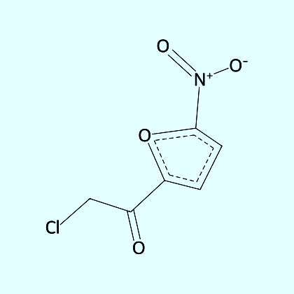 O=C(CCl)c1ccc([N+](=O)[O-])o1